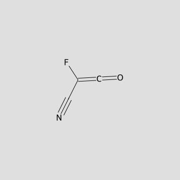 N#CC(F)=C=O